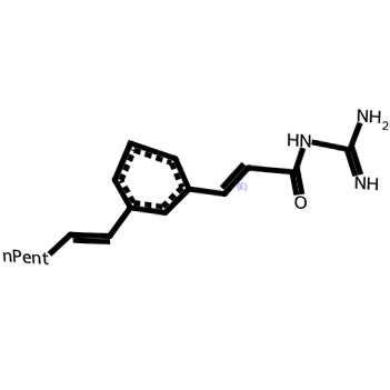 CCCCCC=Cc1cccc(/C=C/C(=O)NC(=N)N)c1